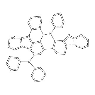 c1ccc(N2B3c4ccccc4-n4c5ccccc5c5c(N(c6ccccc6)c6ccccc6)cc(c3c54)-c3ccc4c(oc5ccccc54)c32)cc1